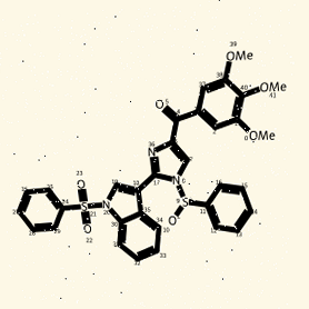 COc1cc(C(=O)c2cn([S+]([O-])c3ccccc3)c(-c3cn(S(=O)(=O)c4ccccc4)c4ccccc34)n2)cc(OC)c1OC